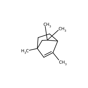 CC1=CC2(C)CCC1C(C)(C)C2